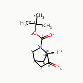 CC(C)(C)OC(=O)N1CC2CC(=O)[C@@H]1C2